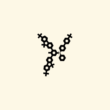 Cc1c(-c2ccc3c(c2)C(C)(C)c2cc(C(C)(C)C)ccc2-3)cc(N(c2ccccc2)c2ccc(-c3ccc(C(C)(C)C)cc3)cc2)cc1-c1ccc2c(c1)C(C)(C)c1cc(C(C)(C)C)ccc1-2